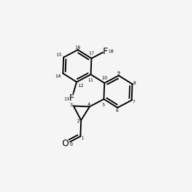 O=CC1CC1c1ccccc1-c1c(F)cccc1F